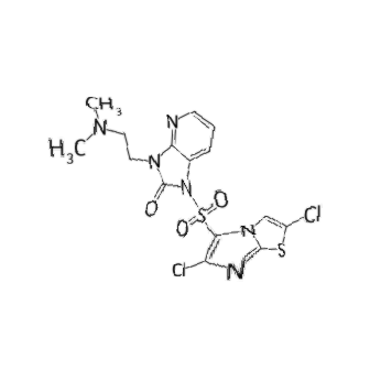 CN(C)CCn1c(=O)n(S(=O)(=O)c2c(Cl)nc3sc(Cl)cn23)c2cccnc21